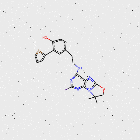 CC1(C)COc2nc3c(NCCc4ccc(O)c(-c5cccs5)c4)nc(I)nc3n21